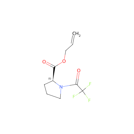 C=CCOC(=O)[C@@H]1CCCN1C(=O)C(F)(F)F